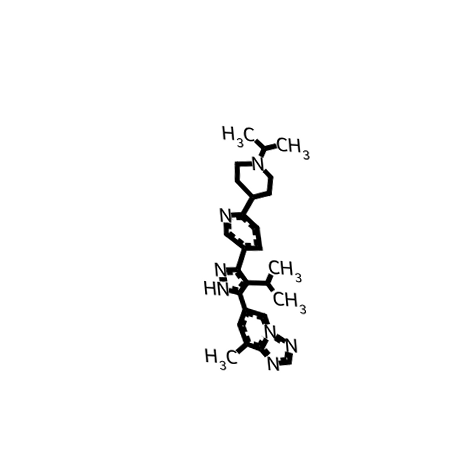 Cc1cc(-c2[nH]nc(-c3ccc(C4CCN(C(C)C)CC4)nc3)c2C(C)C)cn2ncnc12